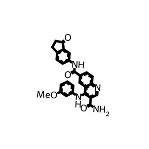 COc1cccc(Nc2c(C(N)=O)cnc3ccc(C(=O)Nc4ccc5c(c4)C(=O)CC5)cc23)c1